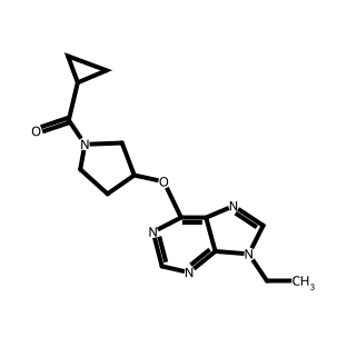 CCn1cnc2c(OC3CCN(C(=O)C4CC4)C3)ncnc21